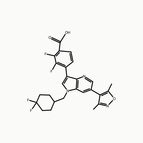 Cc1noc(C)c1-c1cnc2c(-c3ccc(C(=O)O)c(F)c3F)cn(CC3CCC(F)(F)CC3)c2c1